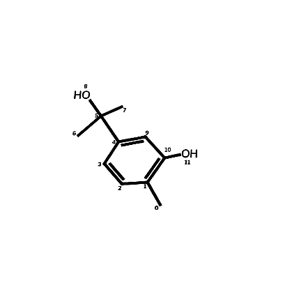 Cc1ccc(C(C)(C)O)cc1O